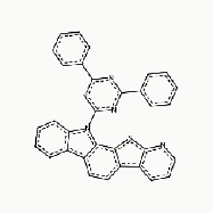 c1ccc(-c2nc(-c3ccccc3)nc(-n3c4ccccc4c4ccc5c6cccnc6sc5c43)n2)cc1